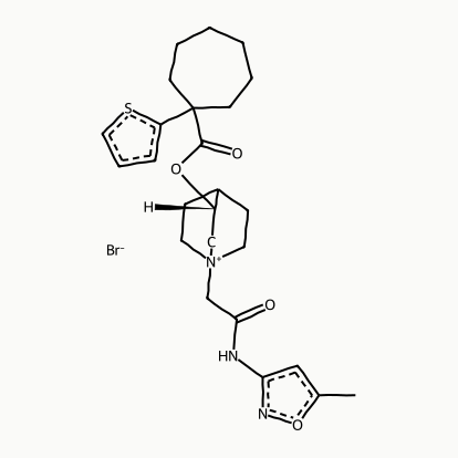 Cc1cc(NC(=O)C[N+]23CCC(CC2)[C@@H](OC(=O)C2(c4cccs4)CCCCCC2)C3)no1.[Br-]